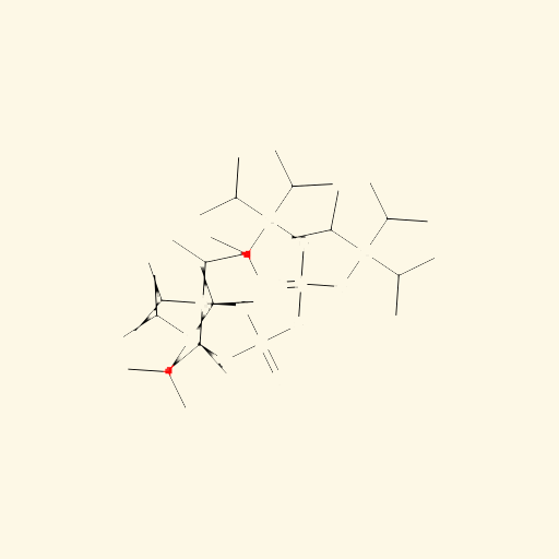 CC(C)[Si](OP(=O)(O[Si](C(C)C)(C(C)C)C(C)C)OP(=O)(O[Si](C(C)C)(C(C)C)C(C)C)O[Si](C(C)C)(C(C)C)C(C)C)(C(C)C)C(C)C